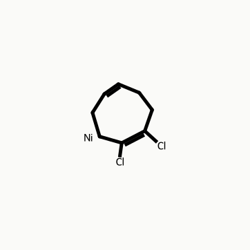 ClC1=C(Cl)CCC=CCC1.[Ni]